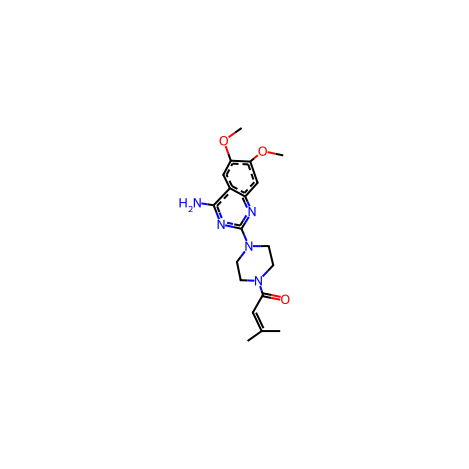 COc1cc2nc(N3CCN(C(=O)C=C(C)C)CC3)nc(N)c2cc1OC